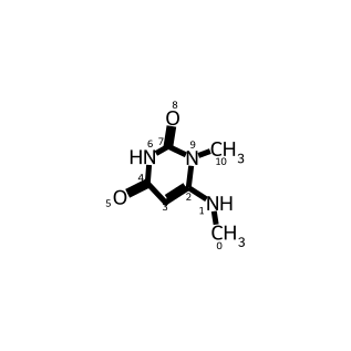 CNc1cc(=O)[nH]c(=O)n1C